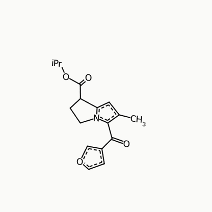 Cc1cc2n(c1C(=O)c1ccoc1)CCC2C(=O)OC(C)C